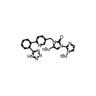 CCCCc1cn(-c2nccn2C(C)(C)C)c(=O)n1Cc1ccc(-c2ccccc2-c2nnn[nH]2)nc1